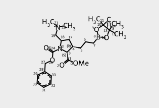 COC(=O)[C@@H]1[C@H](CCCB2OC(C)(C)C(C)(C)O2)CC(CN(C)C)N1C(=O)OCc1ccccc1